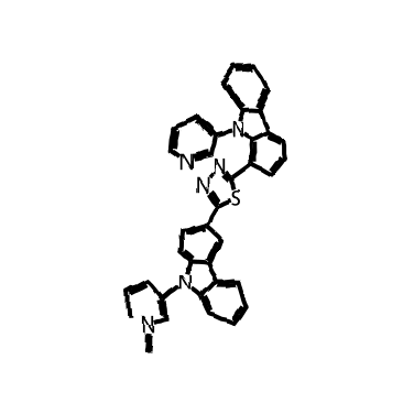 C=N/C=C(\C=C/C)n1c2ccccc2c2cc(-c3nnc(-c4cccc5c6ccccc6n(-c6cccnc6)c45)s3)ccc21